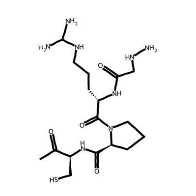 CC(=O)[C@H](CS)NC(=O)[C@@H]1CCCN1C(=O)[C@H](CCCNC(N)N)NC(=O)CNN